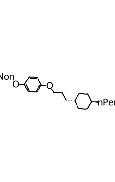 CCCCCCCCCOc1ccc(OCCC[C@H]2CC[C@H](CCCCC)CC2)cc1